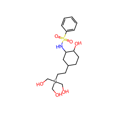 O=S(=O)(NC1CC(CC[Si](CO)(CO)CO)CCC1O)c1ccccc1